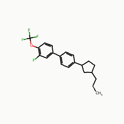 CCCC1CCC(c2ccc(-c3ccc(OC(F)(F)F)c(F)c3)cc2)C1